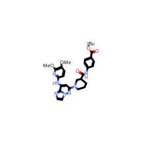 COc1ccc(Nc2cc(N3CCCC(C(=O)Nc4ccc(C(=O)OC(C)(C)C)cc4)C3)nn3ccnc23)nc1OC